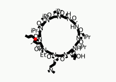 C/C=C/C[C@@H](C)[C@@H](O)[C@H]1C(=O)N(C)[C@@H](CC)C(=O)N(C)[C@@H](CSCCN(C)C)C(=O)N(C)[C@@H](CC(C)(C)O)C(=O)N[C@@H](C(C)C)C(=O)N(C)[C@@H](CC(C)C)C(=O)N[C@@H](C)C(=O)N[C@H](C)C(=O)N(C)[C@@H](CC(C)C)C(=O)N(C)[C@@H](CC(C)C)C(=O)N(C)[C@@H](C(C)C)C(=O)N1C